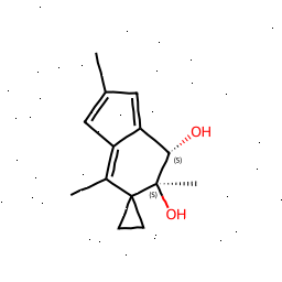 CC1=CC2=C(C)C3(CC3)[C@](C)(O)[C@@H](O)C2=C1